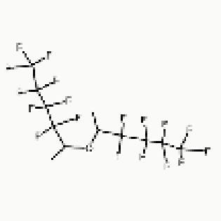 CC(OC(C)C(F)(F)C(F)(F)C(F)(F)C(F)(F)F)C(F)(F)C(F)(F)C(F)(F)C(F)(F)F